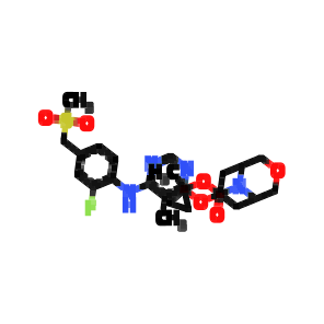 Cc1c(Nc2ccc(CS(C)(=O)=O)cc2F)ncnc1OC1CC2COCC(C1)N2C(=O)OC1(C)CC1